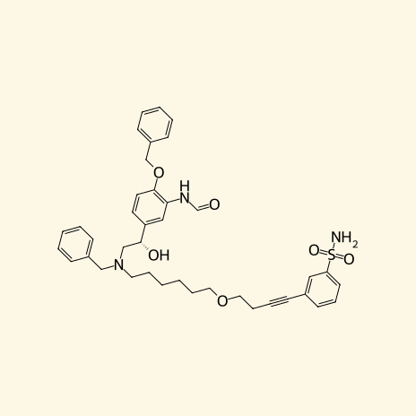 NS(=O)(=O)c1cccc(C#CCCOCCCCCCN(Cc2ccccc2)C[C@@H](O)c2ccc(OCc3ccccc3)c(NC=O)c2)c1